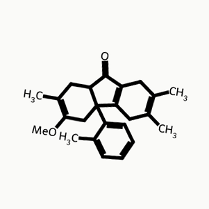 COC1=C(C)CC2C(=O)C3=C(CC(C)=C(C)C3)C2(c2ccccc2C)C1